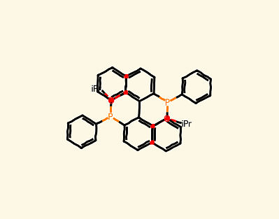 CC(C)Oc1cccc(P(c2ccccc2)c2ccccc2)c1-c1c(OC(C)C)cccc1P(c1ccccc1)c1ccccc1